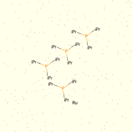 CC(C)P(C(C)C)C(C)C.CC(C)P(C(C)C)C(C)C.CC(C)P(C(C)C)C(C)C.CC(C)P(C(C)C)C(C)C.[Ru]